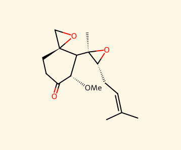 CO[C@@H]1C(=O)CC[C@]2(CO2)C1[C@@]1(C)O[C@@H]1CC=C(C)C